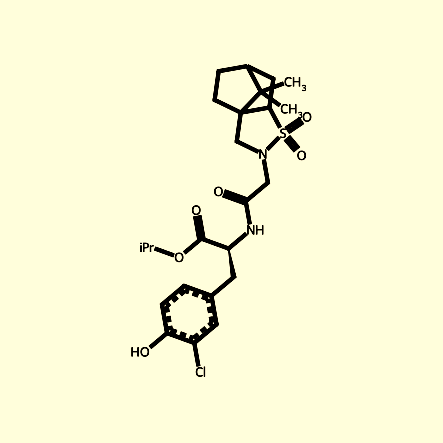 CC(C)OC(=O)[C@H](Cc1ccc(O)c(Cl)c1)NC(=O)CN1CC23CCC(CC2S1(=O)=O)C3(C)C